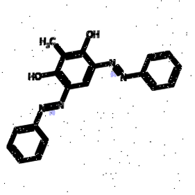 Cc1c(O)c(/N=N/c2ccccc2)cc(/N=N/c2ccccc2)c1O